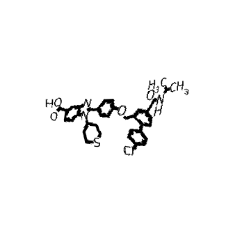 CC(C)NC(=O)c1ccc(-c2ccc(Cl)cc2)c(COc2ccc(-c3nc4cc(C(=O)O)ccc4n3C3CCSCC3)cc2)c1